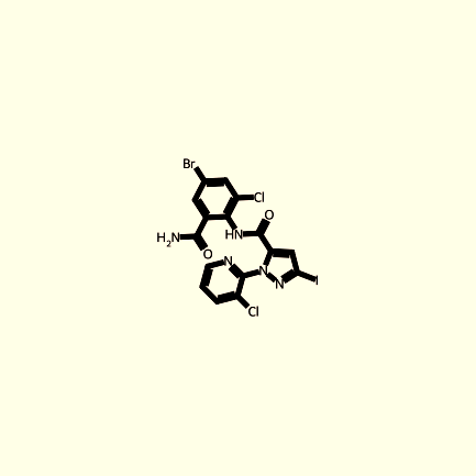 NC(=O)c1cc(Br)cc(Cl)c1NC(=O)c1cc(I)nn1-c1ncccc1Cl